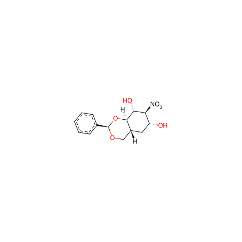 O=[N+]([O-])[C@@H]1[C@@H](O)[C@@H]2O[C@H](c3ccccc3)OC[C@H]2C[C@H]1O